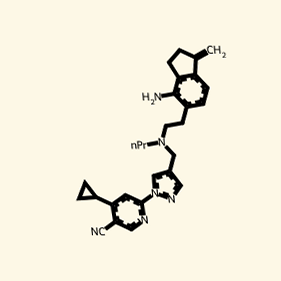 C=C1CCc2c1ccc(CCN(CCC)Cc1cnn(-c3cc(C4CC4)c(C#N)cn3)c1)c2N